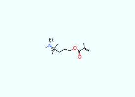 C=C(C)C(=O)OCCC[Si](C)(C)N(C)CC